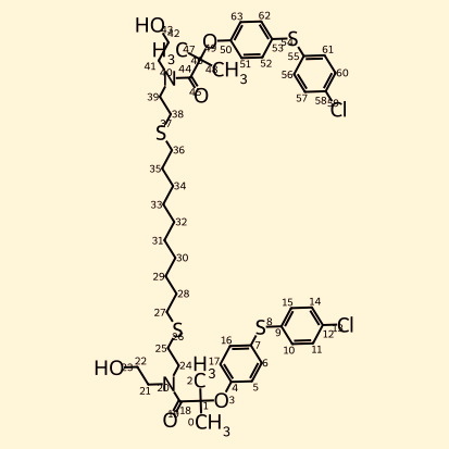 CC(C)(Oc1ccc(Sc2ccc(Cl)cc2)cc1)C(=O)N(CCO)CCSCCCCCCCCCCSCCN(CCO)C(=O)C(C)(C)Oc1ccc(Sc2ccc(Cl)cc2)cc1